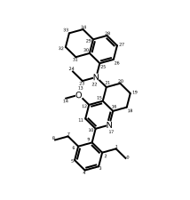 CCc1cccc(CC)c1-c1cc(OC)c2c(n1)CCCC2N(CC)c1cccc2c1CCCC2